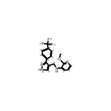 COc1ncccc1NCc1c[nH]nc1-c1ccc(C(F)(F)F)cc1